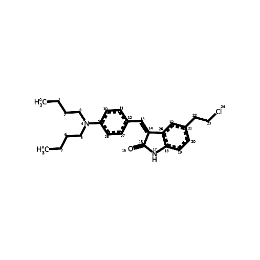 CCCCN(CCCC)c1ccc(C=C2C(=O)Nc3ccc(CCCl)cc32)cc1